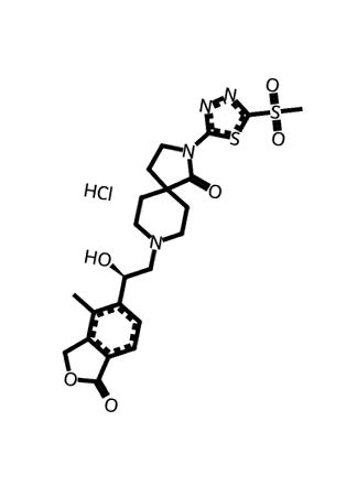 Cc1c([C@@H](O)CN2CCC3(CC2)CCN(c2nnc(S(C)(=O)=O)s2)C3=O)ccc2c1COC2=O.Cl